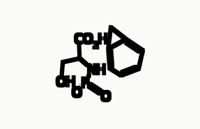 O=C(O)C(CO)NP(=O)=O.c1ccc2c(c1)C2